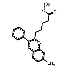 Cc1ccc2cc(-c3ccccc3)c(CCCCC(=O)OC(C)(C)C)nc2c1